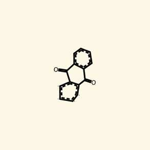 O=C1c2[c][c][c][c]c2C(=O)c2ccccc21